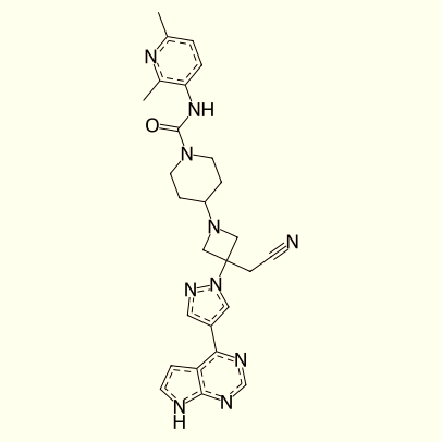 Cc1ccc(NC(=O)N2CCC(N3CC(CC#N)(n4cc(-c5ncnc6[nH]ccc56)cn4)C3)CC2)c(C)n1